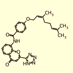 CC(C)=CCCC(C)=CCOc1ccc(C(=O)Nc2cccc3c(=O)cc(-c4nnn[nH]4)oc23)cc1